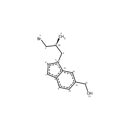 C[C@H](CBr)Cn1ncc2ccc(CO)cc21